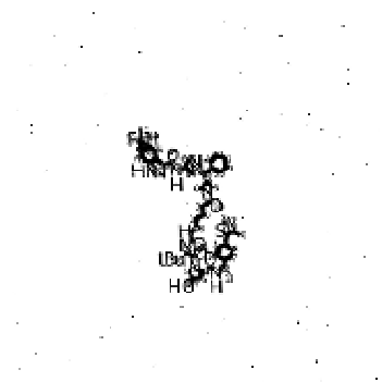 Cc1ncsc1-c1ccc([C@H](C)NC(=O)[C@@H]2C[C@@H](O)CN2C(=O)C(NC(=O)CCCCCC(=O)N2CC([C@@H](c3ccccc3)n3cc(NC(=O)c4n[nH]c5c4C[C@@H]4C(F)(F)[C@]4(C)C5)cn3)C2)C(C)(C)C)cc1